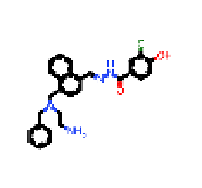 NCCN(Cc1ccccc1)Cc1ccc(/C=N/NC(=O)c2ccc(O)c(Cl)c2)c2ccccc12